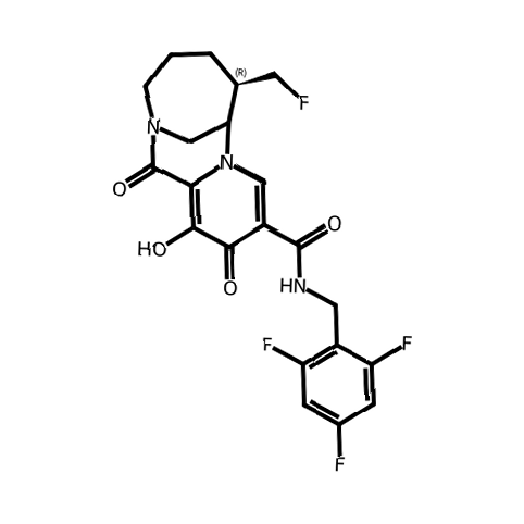 O=C(NCc1c(F)cc(F)cc1F)c1cn2c(c(O)c1=O)C(=O)N1CCC[C@@H](CF)C2C1